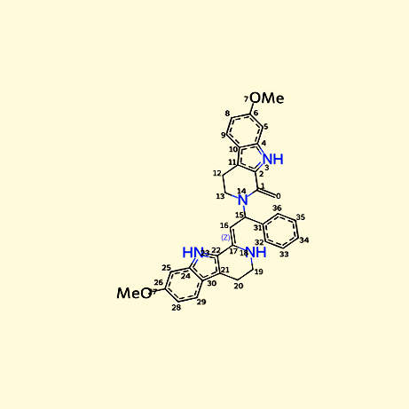 C=C1c2[nH]c3cc(OC)ccc3c2CCN1C(/C=C1\NCCc2c1[nH]c1cc(OC)ccc21)c1ccccc1